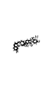 O=C1CCC(N2C(=O)c3ccc(C4(O)CCN(Cc5ccc6ccc(F)cc6n5)CC4)cc3C2=O)C(=O)N1